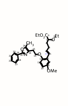 CCOC(=O)C(CC/C=C/c1cc(OC)ccc1OCCc1nc(-c2ccccc2)oc1C)OCC